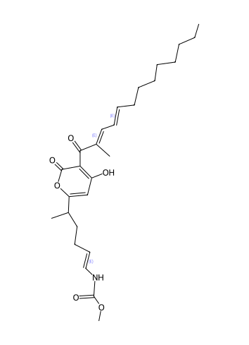 CCCCCCCC/C=C/C=C(\C)C(=O)c1c(O)cc(C(C)CC/C=C/NC(=O)OC)oc1=O